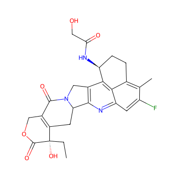 CC[C@@]1(O)C(=O)OCC2=C1CC1c3nc4cc(F)c(C)c5c4c(c3CN1C2=O)[C@@H](NC(=O)CO)CC5